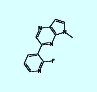 Cn1ccc2ncc(-c3cccnc3F)nc21